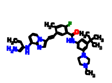 C=C/C(=C\N)Nc1cccn2c(C#Cc3cc(C(=O)Nc4cc(N5CCN(C)CC5)cc(C(C)(C)C)c4)c(F)cc3C)cnc12